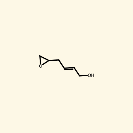 OCC=CCC1CO1